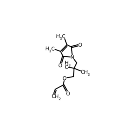 C=CC(=O)OCC(C)(C)CN1C(=O)C(C)=C(C)C1=O